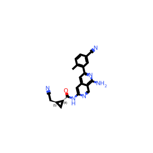 Cc1ccc(C#N)cc1-c1cc2cc(NC(=O)[C@@H]3C[C@H]3CC#N)ncc2c(N)n1